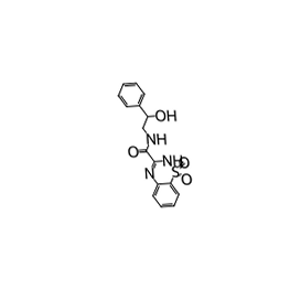 O=C(NCC(O)c1ccccc1)C1=Nc2ccccc2S(=O)(=O)N1